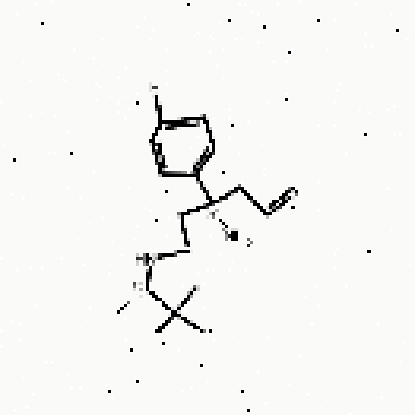 C=CC[C@@](N)(CCN[C@@H](C)C(C)(C)C)c1ccc(F)cc1